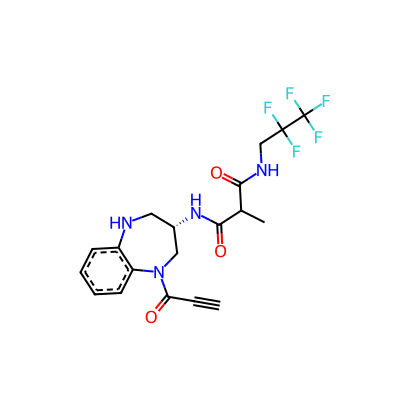 C#CC(=O)N1C[C@@H](NC(=O)C(C)C(=O)NCC(F)(F)C(F)(F)F)CNc2ccccc21